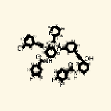 O=C(N[C@@H]1CCC[C@](O)(C#Cc2cccc(Cl)c2)C1)c1ccc(F)c(F)c1.O=C(N[C@H]1CCC[C@](C#Cc2cccc(Cl)c2)(OC(=O)c2ccccn2)C1)c1ccc(F)c(F)c1